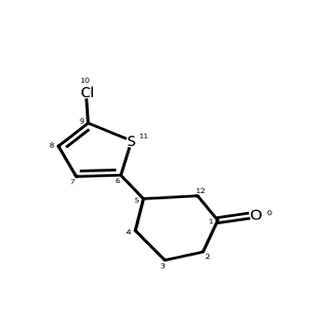 O=C1CCCC(c2ccc(Cl)s2)C1